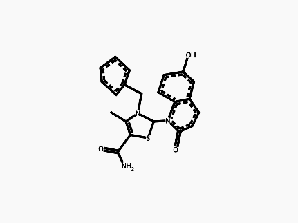 CC1=C(C(N)=O)SC(n2c(=O)ccc3cc(O)ccc32)N1Cc1ccccc1